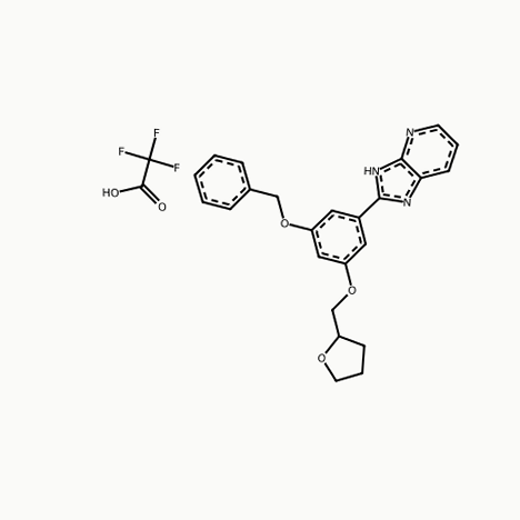 O=C(O)C(F)(F)F.c1ccc(COc2cc(OCC3CCCO3)cc(-c3nc4cccnc4[nH]3)c2)cc1